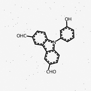 O=Cc1ccc2c(c1)c1cc(C=O)ccc1n2-c1cccc(O)c1